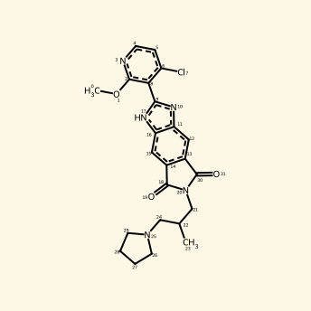 COc1nccc(Cl)c1-c1nc2cc3c(cc2[nH]1)C(=O)N(CC(C)CN1CCCC1)C3=O